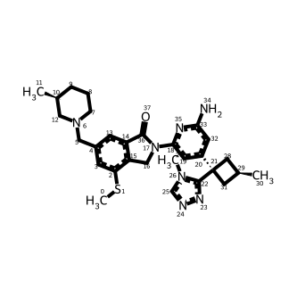 CSc1cc(CN2CCC[C@H](C)C2)cc2c1CN(c1cc([C@]3(c4nncn4C)C[C@@H](C)C3)cc(N)n1)C2=O